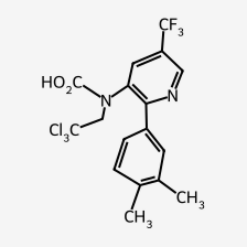 Cc1ccc(-c2ncc(C(F)(F)F)cc2N(CC(Cl)(Cl)Cl)C(=O)O)cc1C